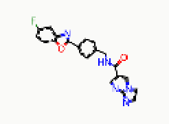 O=C(NCc1ccc(-c2nc3cc(F)ccc3o2)cc1)c1cnc2nccn2c1